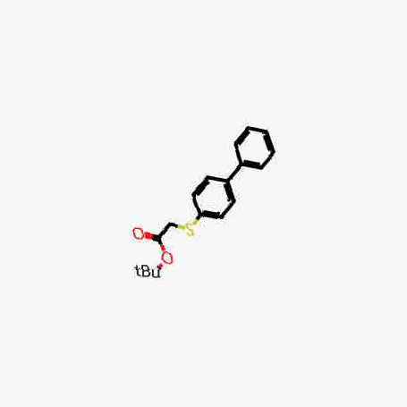 CC(C)(C)OC(=O)CSc1ccc(-c2ccccc2)cc1